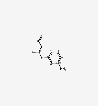 C=CCN(C)Cc1cccc(N)c1